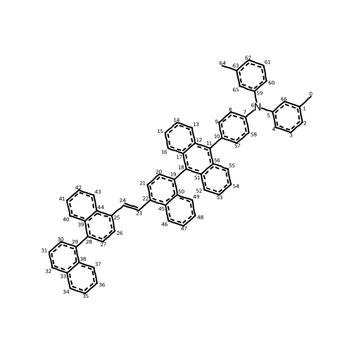 Cc1cccc(N(c2ccc(-c3c4ccccc4c(-c4ccc(/C=C/c5ccc(-c6cccc7ccccc67)c6ccccc56)c5ccccc45)c4ccccc34)cc2)c2cccc(C)c2)c1